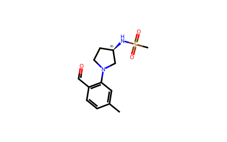 Cc1ccc(C=O)c(N2CC[C@@H](NS(C)(=O)=O)C2)c1